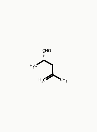 C=C(C)C[C@H](C)C=O